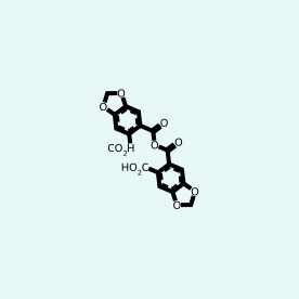 O=C(O)c1cc2c(cc1C(=O)OC(=O)c1cc3c(cc1C(=O)O)OCO3)OCO2